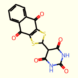 O=C1NC(=O)C(C2SC3=C(S2)C(=O)c2ccccc2C3=O)C(=O)N1